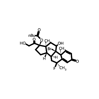 CCCCC(=O)O[C@]1(C(=O)CO)CC[C@H]2[C@@H]3C[C@](C)(F)C4=CC(=O)C=C[C@]4(C)[C@@]3(Br)C(O)C[C@@]21C